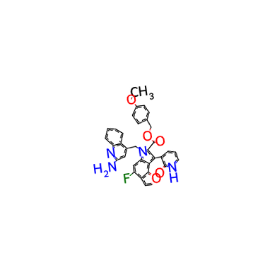 COc1ccc(COC(=O)c2c(-c3ccc[nH]c3=O)c3c4occc4c(F)cc3n2Cc2cc(N)nc3ccccc23)cc1